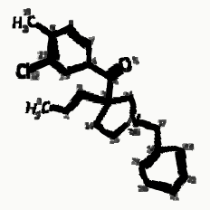 CCCC1(C(=O)c2ccc(C)c(Cl)c2)CCN(Cc2ccccc2)C1